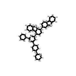 c1ccc(-c2nc(-c3ccc(-c4ccccn4)cc3)cc(-c3ccc(-c4ccc5c(c4)oc4ccccc45)c4oc5ccccc5c34)n2)cc1